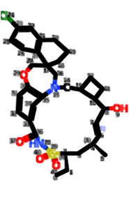 CC[C@@H]1C[C@H](C)/C=C/C(O)C2CCC2CN2CC3(CCCc4cc(Cl)ccc43)COc3ccc(cc32)C(=O)NS1(=O)=O